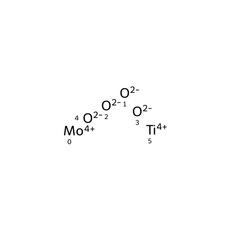 [Mo+4].[O-2].[O-2].[O-2].[O-2].[Ti+4]